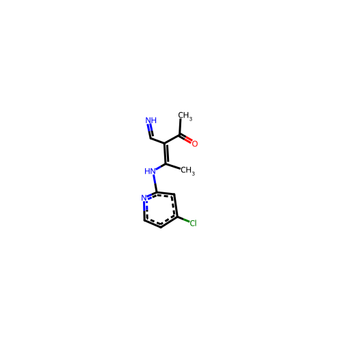 CC(=O)/C(C=N)=C(\C)Nc1cc(Cl)ccn1